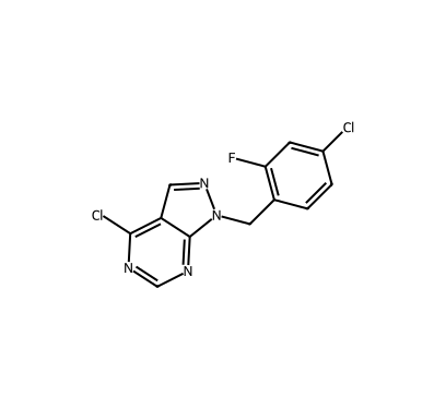 Fc1cc(Cl)ccc1Cn1ncc2c(Cl)ncnc21